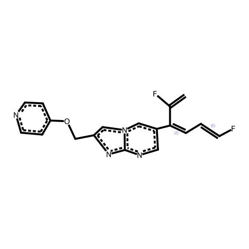 C=C(F)/C(=C\C=C\F)c1cnc2nc(COc3ccncc3)cn2c1